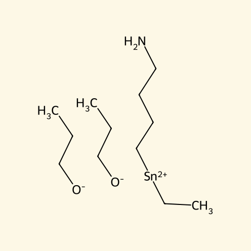 CCC[O-].CCC[O-].C[CH2][Sn+2][CH2]CCCN